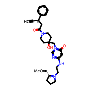 C#C[C@H](CC(=O)N1CCC(O)(Cn2cnc(NCCN3CCC[C@@H]3COC)cc2=O)CC1)c1ccccc1